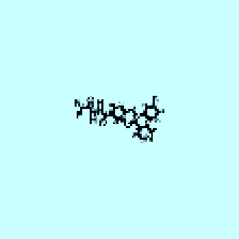 O=C(NNC(=O)C(F)F)c1ccc(CN(C(=O)c2ccncc2)c2cccc(F)c2)nc1